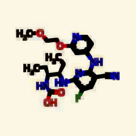 CC[C@H](NC(=O)O)[C@@H](CC)Nc1nc(Nc2ccnc(OCCOC)c2)c(C#N)cc1F